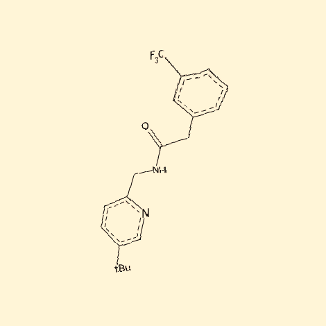 CC(C)(C)c1ccc(CNC(=O)Cc2cccc(C(F)(F)F)c2)nc1